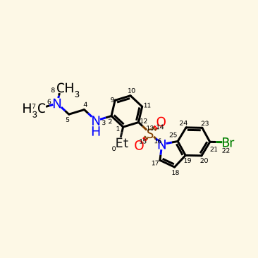 CCc1c(NCCN(C)C)cccc1S(=O)(=O)n1ccc2cc(Br)ccc21